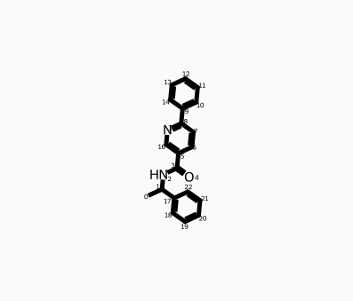 CC(NC(=O)c1ccc(-c2ccccc2)nc1)c1ccccc1